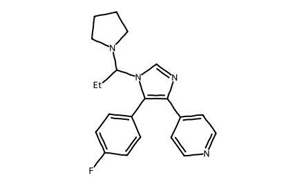 CCC(N1CCCC1)n1cnc(-c2ccncc2)c1-c1ccc(F)cc1